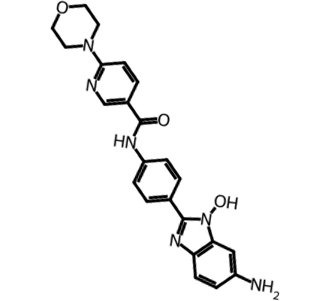 Nc1ccc2nc(-c3ccc(NC(=O)c4ccc(N5CCOCC5)nc4)cc3)n(O)c2c1